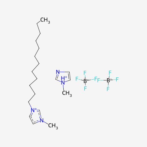 CCCCCCCCCCCC[n+]1ccn(C)c1.C[NH+]1C=CN=C1.F[B-](F)(F)F.F[B-](F)(F)F